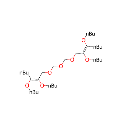 CCCCOC(CCCC)=C(COCOCOCC(OCCCC)=C(CCCC)OCCCC)OCCCC